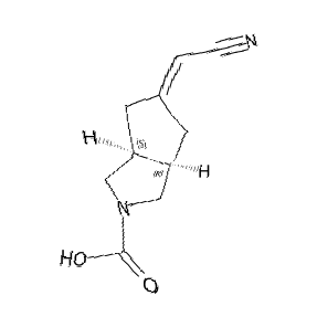 N#CC=C1C[C@@H]2CN(C(=O)O)C[C@@H]2C1